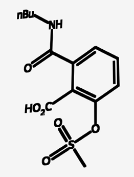 CCCCNC(=O)c1cccc(OS(C)(=O)=O)c1C(=O)O